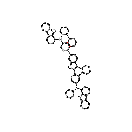 c1ccc(-c2ccccc2N(c2ccc(-c3ccc4c(c3)oc3c5ccc(N(c6ccccc6)c6cccc7c6oc6ccccc67)cc5c5ccccc5c43)cc2)c2cccc3c2oc2ccccc23)cc1